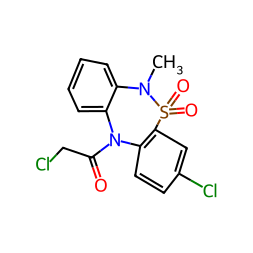 CN1c2ccccc2N(C(=O)CCl)c2ccc(Cl)cc2S1(=O)=O